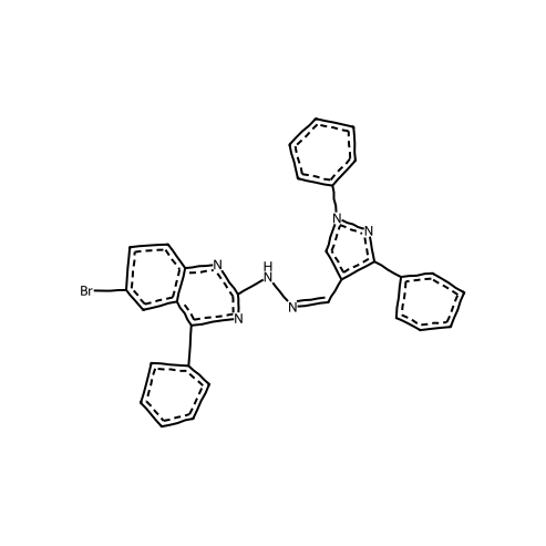 Brc1ccc2nc(N/N=C\c3cn(-c4ccccc4)nc3-c3ccccc3)nc(-c3ccccc3)c2c1